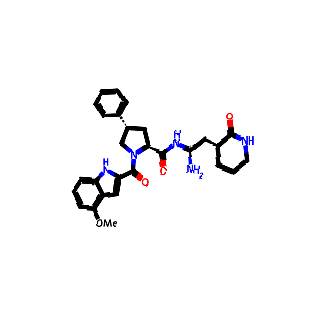 COc1cccc2[nH]c(C(=O)N3C[C@H](c4ccccc4)C[C@H]3C(=O)N[C@H](N)C[C@@H]3CCCNC3=O)cc12